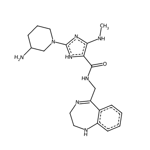 CNc1nc(N2CCCC(N)C2)[nH]c1C(=O)NCC1=NCCNc2ccccc21